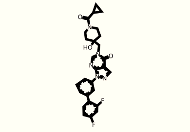 O=C(C1CC1)N1CCC(O)(Cn2cnc3c(cnn3-c3cccc(-c4ccc(F)cc4F)c3)c2=O)CC1